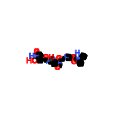 COc1cc2c(cc1CNC[C@H](O)c1ccc(O)c3[nH]c(=O)ccc13)OCCN2C(=O)CCN1CCC(OC(=O)Nc2ccccc2-c2ccccc2)CC1